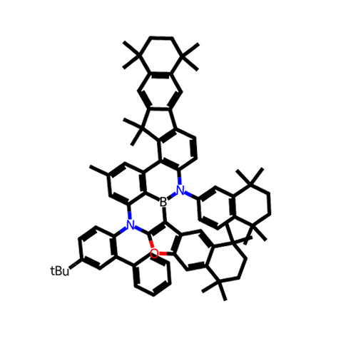 Cc1cc2c3c(c1)N(c1ccc(C(C)(C)C)cc1-c1ccccc1)c1oc4cc5c(cc4c1B3N(c1ccc3c(c1)C(C)(C)CCC3(C)C)c1ccc3c(c1-2)C(C)(C)c1cc2c(cc1-3)C(C)(C)CCC2(C)C)C(C)(C)CCC5(C)C